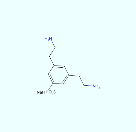 NCCc1cc(CCN)cc(S(=O)(=O)O)c1.[NaH]